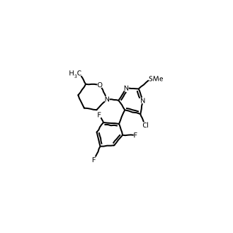 CSc1nc(Cl)c(-c2c(F)cc(F)cc2F)c(N2CCCC(C)O2)n1